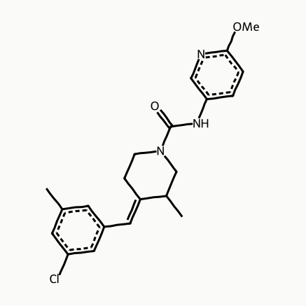 COc1ccc(NC(=O)N2CC/C(=C\c3cc(C)cc(Cl)c3)C(C)C2)cn1